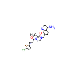 C[C@H]1C(=O)N(Cc2ccc3c(N)ccnc3c2)CCN1C(=O)/C=C/c1ccc(Cl)s1